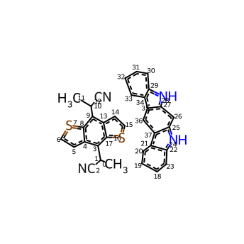 CC(C#N)c1c2ccsc2c(C(C)C#N)c2ccsc12.c1ccc2c(c1)[nH]c1cc3[nH]c4ccccc4c3cc12